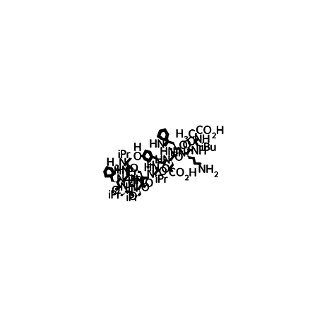 CC[C@H](C)[C@H](NC(=O)[C@H](CCCCN)NC(=O)[C@H](Cc1c[nH]c2ccccc12)NC(=O)[C@H](CCC(=O)O)NC(=O)[C@H](Cc1ccc(O)cc1)NC(=O)[C@@H](NC(=O)[C@H](CC(C)C)NC(=O)[C@H](CC(C)C)NC(=O)[C@H](CC(C)C)NC(=O)[C@H](Cc1ccccc1)NC(=O)[C@H](CC(C)C)NC(=O)[C@@H](N)CC(C)C)C(C)C)C(=O)N[C@@H](C)C(=O)O